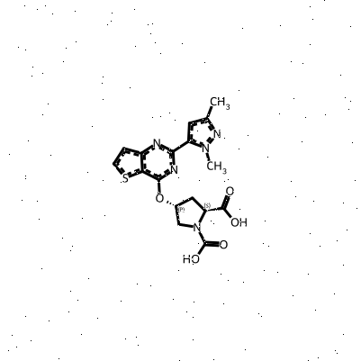 Cc1cc(-c2nc(O[C@@H]3C[C@@H](C(=O)O)N(C(=O)O)C3)c3sccc3n2)n(C)n1